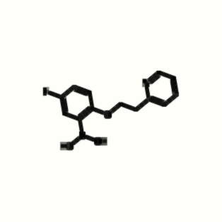 OB(O)c1cc(F)ccc1OCCc1ccccn1